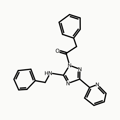 O=C(Cc1ccccc1)n1nc(-c2ccccn2)nc1NCc1ccccc1